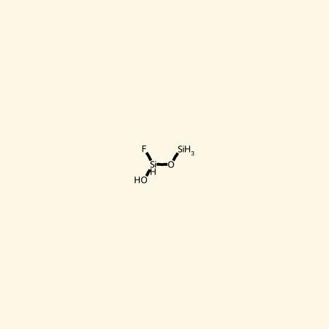 O[SiH](F)O[SiH3]